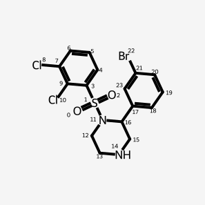 O=S(=O)(c1cccc(Cl)c1Cl)N1CCNCC1c1cccc(Br)c1